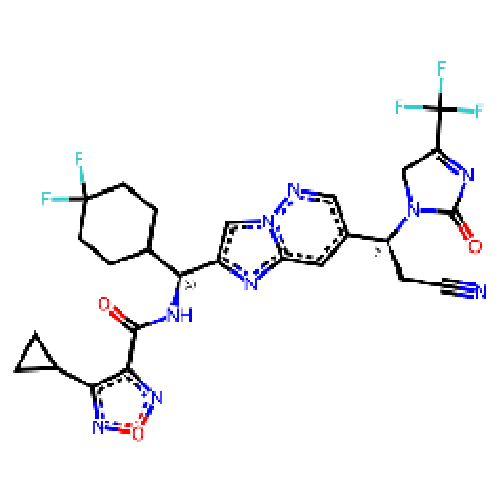 N#CC[C@@H](c1cnn2cc([C@@H](NC(=O)c3nonc3C3CC3)C3CCC(F)(F)CC3)nc2c1)N1CC(C(F)(F)F)=NC1=O